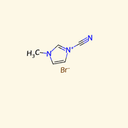 Cn1cc[n+](C#N)c1.[Br-]